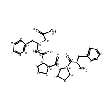 N[C@H](Cc1ccccc1)C(=O)N1CCC[C@@H]1C(=O)N1CCC[C@@H]1C(=O)N[C@@H](CC(=O)O)Cc1ccccc1